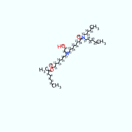 CCCCCCC(C)OC(=O)CCCCCCCN(CCO)CCCCCCCC(=O)N(CCCCC)CCCCCC